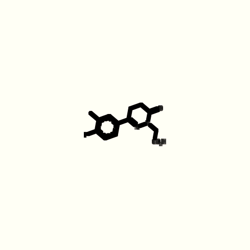 Cc1cc(C2=NN(CC(=O)O)C(=O)CC2)ccc1F